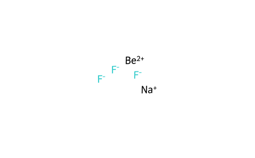 [Be+2].[F-].[F-].[F-].[Na+]